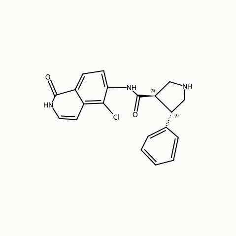 O=C(Nc1ccc2c(=O)[nH]ccc2c1Cl)[C@H]1CNC[C@@H]1c1ccccc1